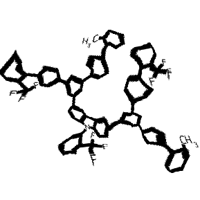 Cc1ccccc1-c1ccc(-c2cc(-c3ccc(-c4ccccc4C(F)(F)F)cc3)cc(-c3ccc4c(c3)c3cc(-c5cc(-c6ccc(-c7ccccc7C)cc6)cc(-c6ccc(-c7ccccc7C(F)(F)F)cc6)c5)ccc3n4-c3ccccc3C(F)(F)F)c2)cc1